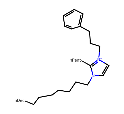 CCCCCCCCCCCCCCCCCn1cc[n+](CCCc2ccccc2)c1CCCCC